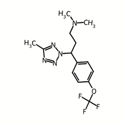 Cc1nnn(C(CCN(C)C)c2ccc(OC(F)(F)F)cc2)n1